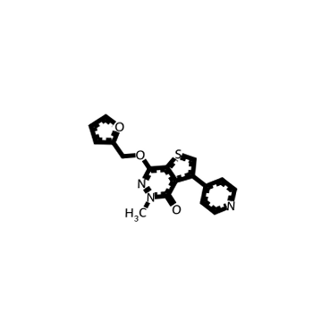 Cn1nc(OCc2ccco2)c2scc(-c3ccncc3)c2c1=O